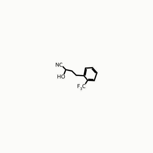 N#CC(O)CCc1ccccc1C(F)(F)F